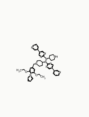 CCOc1cc(CN2CCC(N(c3ncc(-c4cccnc4)cn3)N(c3ncc(-c4cccnc4)cn3)C3CCNCC3)CC2)cc(OCC)c1-n1cccc1